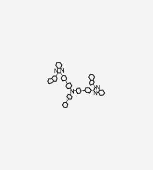 c1ccc(-c2ccc(N(c3ccc(-c4ccc(-c5nc6ccccc6nc5-c5ccc6ccccc6c5)cc4)cc3)c3ccc(-c4ccc(-c5nc6ccccc6nc5-c5ccc6ccccc6c5)cc4)cc3)cc2)cc1